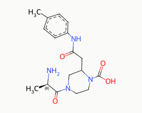 Cc1ccc(NC(=O)CC2CN(C(=O)[C@@H](C)N)CCN2C(=O)O)cc1